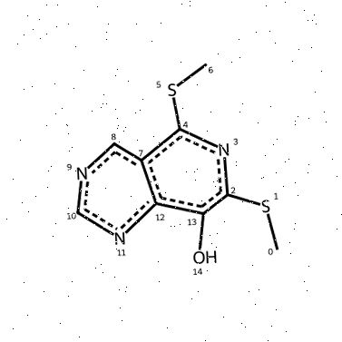 CSc1nc(SC)c2cncnc2c1O